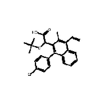 C=Cc1c(C)c(C(OC(C)(C)C)C(=O)O)c(-c2ccc(Cl)cc2)c2ccccc12